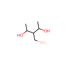 BCC(C(C)O)C(C)O